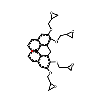 c1ccc2c(Cc3c(OCC4CO4)c(OCC4CO4)cc4ccccc34)c(OCC3CO3)c(OCC3CO3)cc2c1